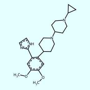 COc1cc(-c2ncc[nH]2)c(C2CCN(C3CCN(C4CC4)CC3)CC2)cc1OC